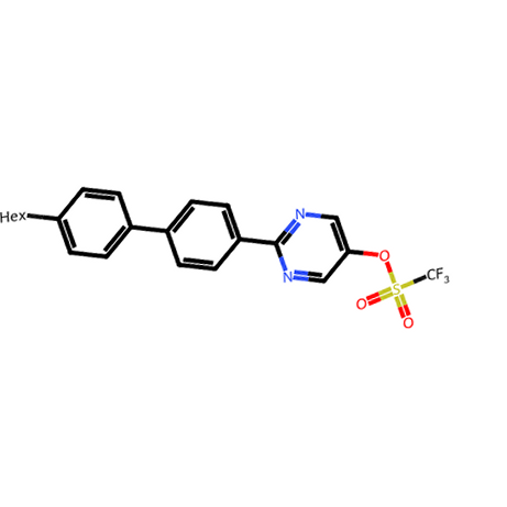 CCCCCCc1ccc(-c2ccc(-c3ncc(OS(=O)(=O)C(F)(F)F)cn3)cc2)cc1